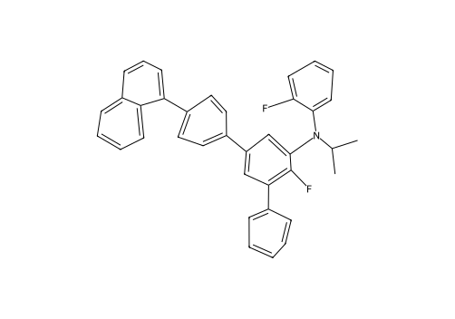 CC(C)N(c1ccccc1F)c1cc(-c2ccc(-c3cccc4ccccc34)cc2)cc(-c2ccccc2)c1F